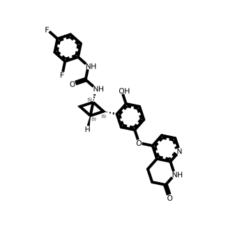 O=C1CCc2c(Oc3ccc(O)c([C@@H]4[C@@H]5C[C@@]45NC(=O)Nc4ccc(F)cc4F)c3)ccnc2N1